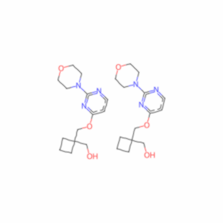 OCC1(COc2ccnc(N3CCOCC3)n2)CCC1.OCC1(COc2ccnc(N3CCOCC3)n2)CCC1